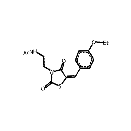 CCOc1ccc(C=C2SC(=O)N(CCNC(C)=O)C2=O)cc1